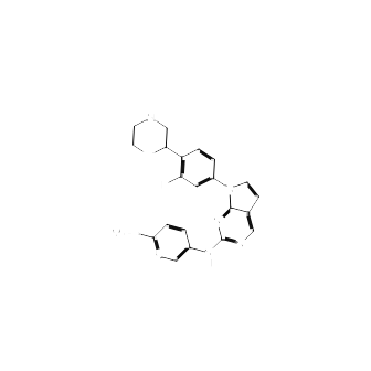 COc1ccc(Nc2ncc3ccn(-c4ccc(C5CNCCO5)c(F)c4)c3n2)cn1